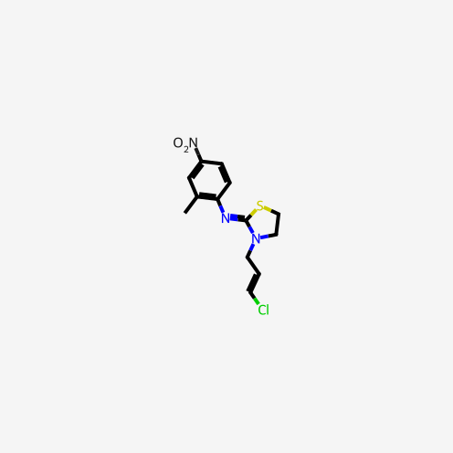 Cc1cc([N+](=O)[O-])ccc1/N=C1\SCCN1C/C=C/Cl